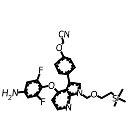 C[Si](C)(C)CCOCn1cc(-c2ccc(OCC#N)cc2)c2c(Oc3c(F)cc(N)cc3F)ccnc21